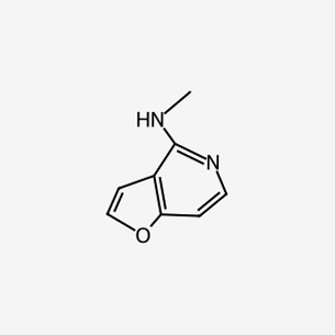 CNc1nccc2occc12